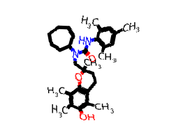 Cc1cc(C)c(NC(=O)N(CC2(C)CCc3c(C)c(O)c(C)c(C)c3O2)C2CCCCCC2)c(C)c1